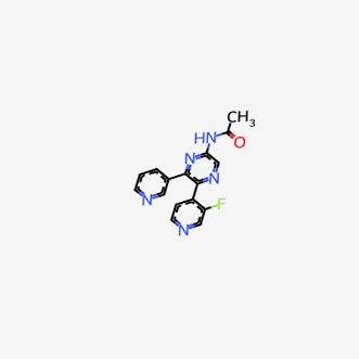 CC(=O)Nc1cnc(-c2ccncc2F)c(-c2cccnc2)n1